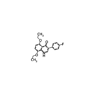 CCOc1ccc(OCC)c2c(=O)c(-c3ccc(F)cc3)c[nH]c12